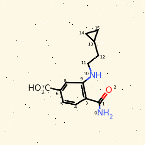 NC(=O)c1ccc(C(=O)O)cc1NCCC1CC1